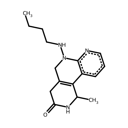 CCCCNN1CC2=C(c3cccnc31)C(C)NC(=O)C2